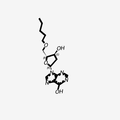 CCCCCOC[C@H]1O[C@@H](n2cnc3c(O)ncnc32)C[C@@H]1O